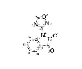 O=C1C(=O)N(c2ncon2)c2ccccc21